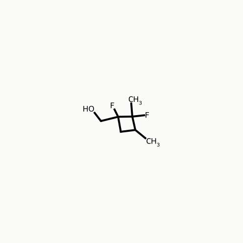 CC1CC(F)(CO)C1(C)F